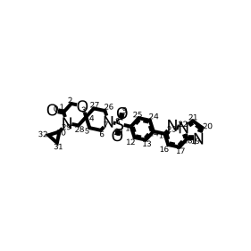 O=C1COC2(CCN(S(=O)(=O)c3ccc(-c4ccc5nccn5n4)cc3)CC2)CN1C1CC1